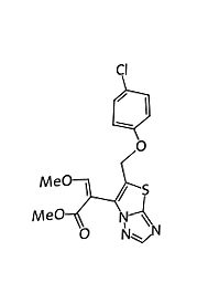 COC=C(C(=O)OC)c1c(COc2ccc(Cl)cc2)sc2ncnn12